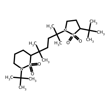 CC(C)(C)C1CCN(C(C)(C)CCC(C)(C)C2CCCN(C(C)(C)C)S2(=O)=O)S1(=O)=O